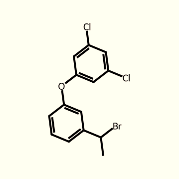 CC(Br)c1cccc(Oc2cc(Cl)cc(Cl)c2)c1